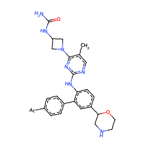 CC(=O)c1ccc(-c2cc(C3CNCCO3)ccc2Nc2ncc(C)c(N3CC(NC(N)=O)C3)n2)cc1